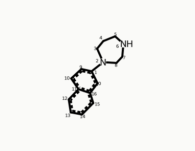 [c]1c(N2CCCNCC2)ccc2ccccc12